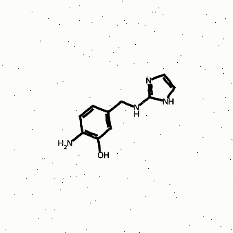 Nc1ccc(CNc2ncc[nH]2)cc1O